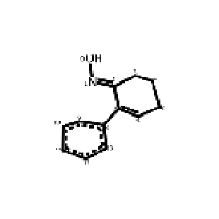 ON=C1CCCC=C1c1ccccc1